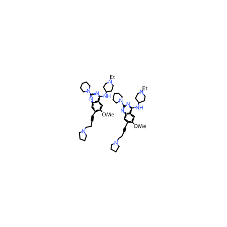 CCN1CCC(Nc2nc(N3CCCCC3)nc3cc(C#CCCN4CCCC4)c(OC)cc23)CC1.CCN1CCC(Nc2nc(N3CCCCC3)nc3cc(C#CCCN4CCCC4)c(OC)cc23)CC1